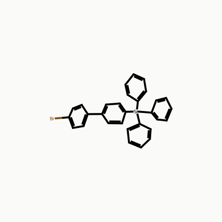 Brc1ccc(-c2ccc([Si](c3ccccc3)(c3ccccc3)c3ccccc3)cc2)cc1